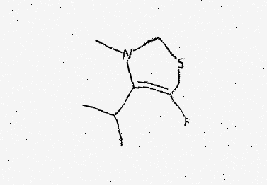 CC(C)C1=C(F)SCN1C